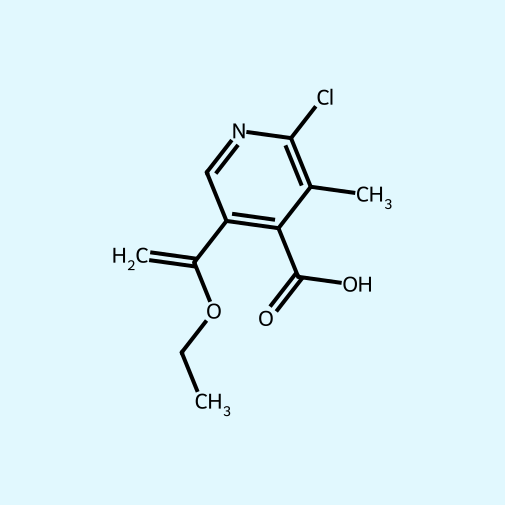 C=C(OCC)c1cnc(Cl)c(C)c1C(=O)O